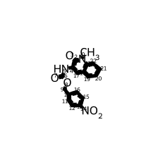 Cn1c(=O)c(NC(=O)OCc2ccc([N+](=O)[O-])cc2)cc2ccccc21